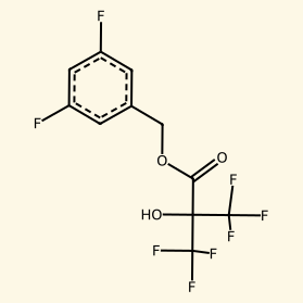 O=C(OCc1cc(F)cc(F)c1)C(O)(C(F)(F)F)C(F)(F)F